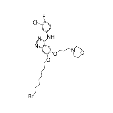 Fc1ccc(Nc2ncnc3cc(OCCCCCCCCBr)c(OCCCN4CCOCC4)cc23)cc1Cl